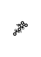 CCCCc1cccc2c1C(C(=O)N(CCC)c1ccc(NC(=O)c3ccccc3)cc1)c1ccccc1-2